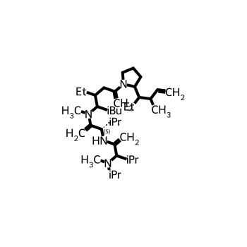 C=CC(C)C(CC)C1CCCN1C(=C)CC(CC)C(C(C)CC)N(C)C(=C)[C@@H](NC(=C)C(C(C)C)N(C)C(C)C)C(C)C